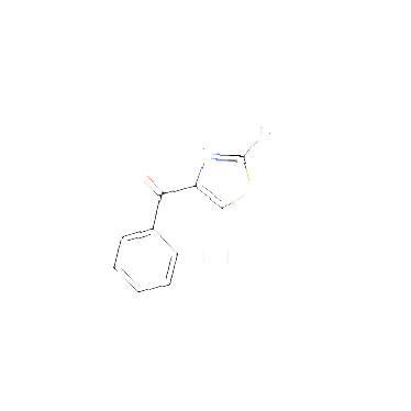 Cl.Nc1nc(C(=O)c2ccccc2)cs1